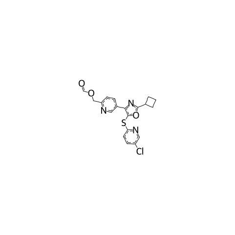 O=COCc1ccc(-c2nc(C3CCC3)oc2Sc2ccc(Cl)cn2)cn1